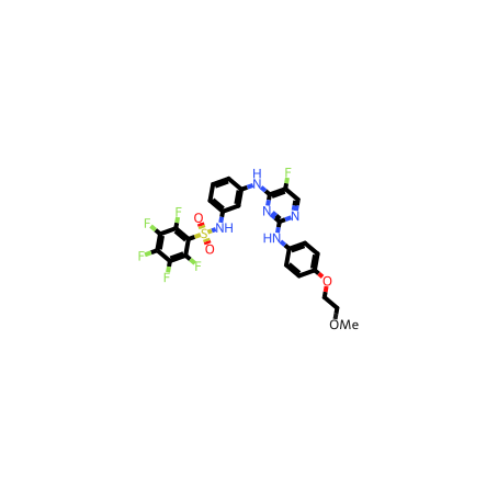 COCCOc1ccc(Nc2ncc(F)c(Nc3cccc(NS(=O)(=O)c4c(F)c(F)c(F)c(F)c4F)c3)n2)cc1